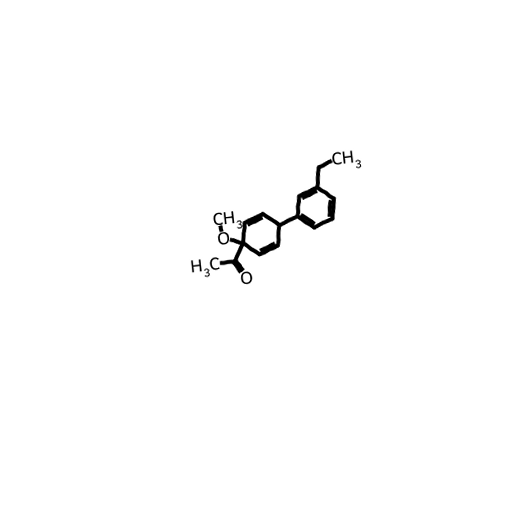 CCc1cccc(C2C=CC(OC)(C(C)=O)C=C2)c1